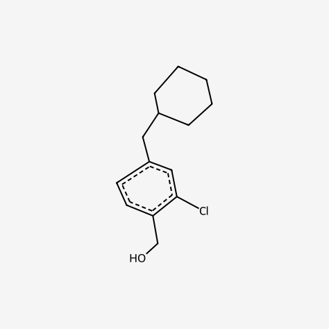 OCc1ccc(CC2CCCCC2)cc1Cl